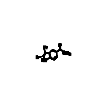 COC(=O)c1ccc2[nH]c(Br)c(C(C)C)c2c1